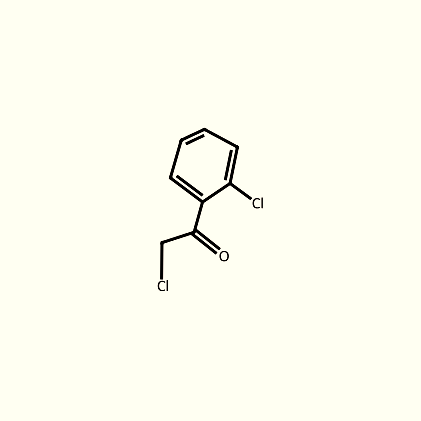 O=C(CCl)c1ccccc1Cl